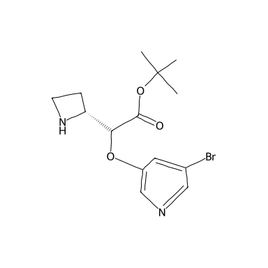 CC(C)(C)OC(=O)C(Oc1cncc(Br)c1)[C@H]1CCN1